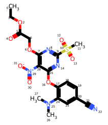 CCOC(=O)COc1nc(S(C)(=O)=O)nc(Oc2ccc(C#N)cc2N(C)C)c1[N+](=O)[O-]